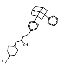 CC1CCN(C[C@H](O)COc2ccc(C34CC5CC6CC(c7ccccc7)(C3)C64C5)cc2)CC1